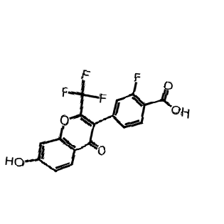 O=C(O)c1ccc(-c2c(C(F)(F)F)oc3cc(O)ccc3c2=O)cc1F